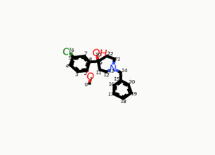 COc1ccc(Cl)cc1C1(O)CCN(Cc2ccccc2)CC1